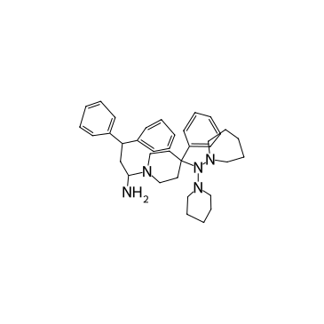 NC(CC(c1ccccc1)c1ccccc1)N1CCC(c2ccccc2)(N(N2CCCCC2)N2CCCCC2)CC1